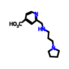 O=C(O)c1ccnc(CNCCCN2CCCC2)c1